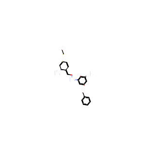 CC(C)(C)c1cc(OCc2ccccc2)cc(NC/C=C2\C=CC(SCCO)=CC2=N)c1O